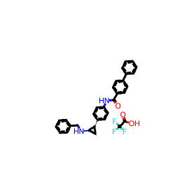 O=C(Nc1ccc([C@@H]2C[C@H]2NCc2ccccc2)cc1)c1ccc(-c2ccccc2)cc1.O=C(O)C(F)(F)F